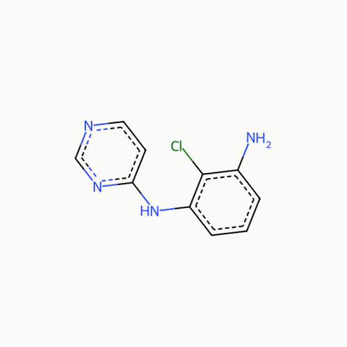 Nc1cccc(Nc2ccncn2)c1Cl